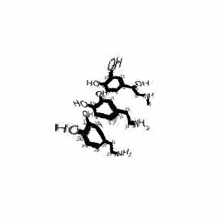 CNCC(O)c1ccc(O)c(O)c1.NCCc1ccc(O)c(O)c1.NCCc1ccc(O)c(O)c1